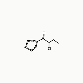 CCC(Cl)C(=O)c1cc[c]cc1